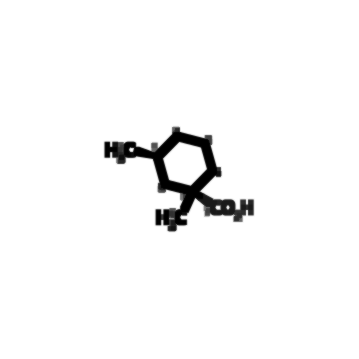 C[C@H]1CCC[C@@](C)(C(=O)O)C1